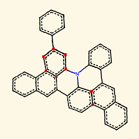 c1ccc(-c2cccc(N(c3ccccc3-c3ccc4ccccc4c3)c3ccccc3-c3cc4ccccc4c4ccccc34)c2)cc1